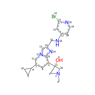 CN1CC(O)(c2cc(C3CC3)cn3cc(CNc4ccnc(Br)c4)nc23)C1